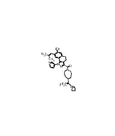 C=C(C1CCCN(C(=O)c2nn(-c3ccsc3)c3c2CCc2cc(CC)c(C=C(C)C)cc2-3)CCC1)N1CCC1